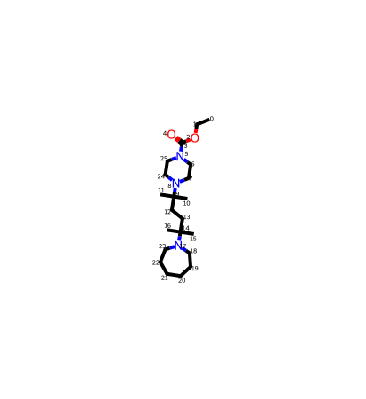 CCOC(=O)N1CCN(C(C)(C)CCC(C)(C)N2CCCCCC2)CC1